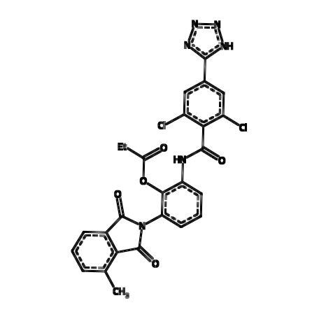 CCC(=O)Oc1c(NC(=O)c2c(Cl)cc(-c3nnn[nH]3)cc2Cl)cccc1N1C(=O)c2cccc(C)c2C1=O